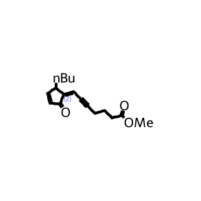 CCCCC1C=CC(=O)/C1=C\C#CCCCC(=O)OC